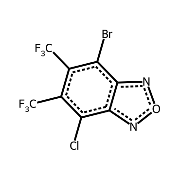 FC(F)(F)c1c(C(F)(F)F)c(Br)c2nonc2c1Cl